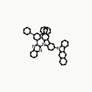 c1ccc(-c2cc(-c3ccccc3)cc(-c3nc4ccccc4nc3-n3c4ccc(-n5c6ccccc6c6cc7ccccc7cc65)cc4c4cc5ccccc5cc43)c2)cc1